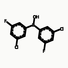 OB(c1cc(F)cc(Cl)c1)c1cc(F)cc(Cl)c1